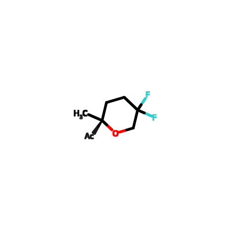 CC(=O)[C@@]1(C)CCC(F)(F)CO1